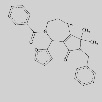 CC1(C)C2=C(C(=O)N1Cc1ccccc1)C(c1ccco1)N(C(=O)c1ccccc1)CCN2